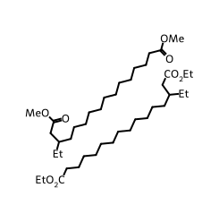 CCC(CCCCCCCCCCCCC(=O)OC)CC(=O)OC.CCOC(=O)CCCCCCCCCCCCC(CC)CC(=O)OCC